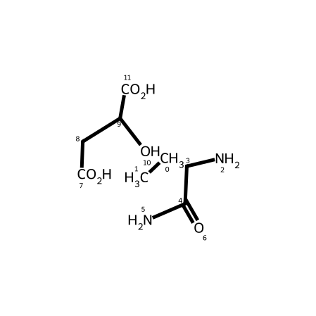 CC.NCC(N)=O.O=C(O)CC(O)C(=O)O